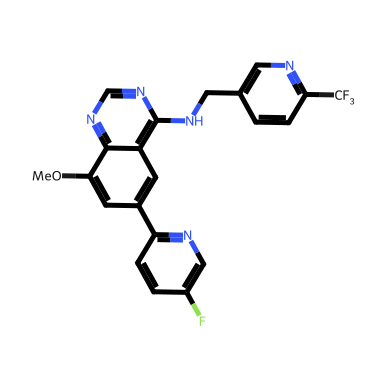 COc1cc(-c2ccc(F)cn2)cc2c(NCc3ccc(C(F)(F)F)nc3)ncnc12